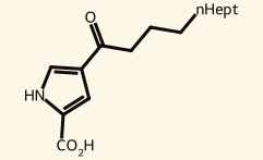 CCCCCCCCCCC(=O)c1c[nH]c(C(=O)O)c1